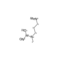 CNCCCN(C)N(O)N=O